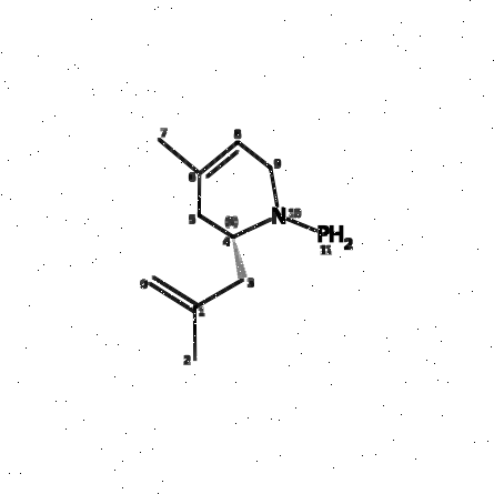 C=C(C)C[C@@H]1CC(C)=CCN1P